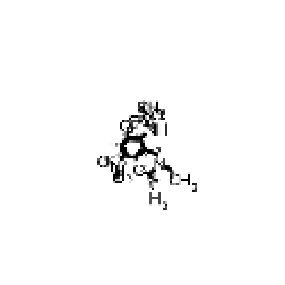 CCN(Cc1cc([N+](=O)[O-])cc(Cl)c1NS(C)(=O)=O)C(C)C